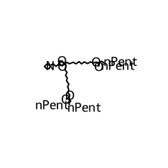 CCCCCC(CCCCC)CC(=O)OCCCCCCCCCCC1(CCCCCCCCCCOC(=O)CC(CCCCC)CCCCC)OCC(CCN2CCCC2)O1